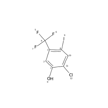 Oc1cc(C(F)(F)F)c(I)cc1Cl